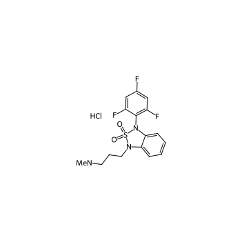 CNCCCN1c2ccccc2N(c2c(F)cc(F)cc2F)S1(=O)=O.Cl